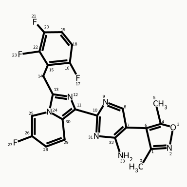 Cc1noc(C)c1-c1cnc(-c2nc(Cc3c(F)ccc(F)c3F)n3cc(F)ccc23)nc1N